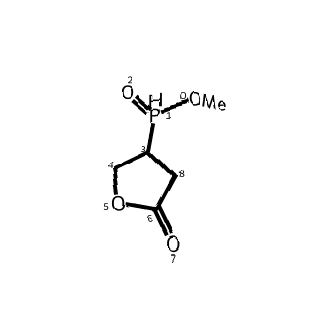 CO[PH](=O)C1COC(=O)C1